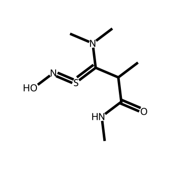 CNC(=O)C(C)C(=S=NO)N(C)C